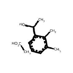 CC(=O)O.Cc1cccc(C(C)O)c1C